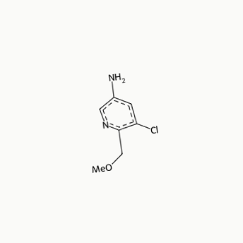 COCc1ncc(N)cc1Cl